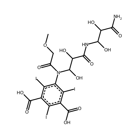 COCC(=O)N(c1c(I)c(C(=O)O)c(I)c(C(=O)O)c1I)C(O)C(O)C(=O)NC(O)C(O)C(N)=O